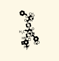 CCc1c(N2CCN(C(=O)c3ncnc(C)c3OCc3ccccc3)CC2)c(=O)n2nc(-c3ccc4c(c3)OCO4)nc2n1CC(=O)Nc1c(Cl)cc(C(F)(F)F)c2c1CC2